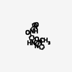 Cn1c(=O)c(Nc2ccc(C(=O)NCc3ccon3)cc2)nc2ccccc21